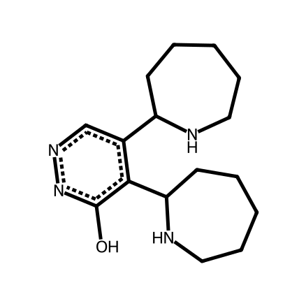 Oc1nncc(C2CCCCCN2)c1C1CCCCCN1